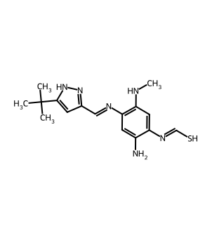 CNc1cc(/N=C/S)c(N)cc1/N=C/c1cc(C(C)(C)C)[nH]n1